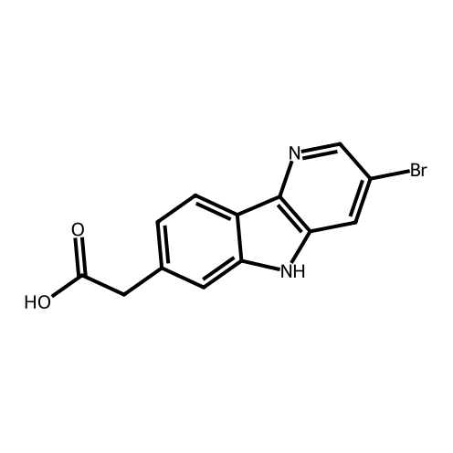 O=C(O)Cc1ccc2c(c1)[nH]c1cc(Br)cnc12